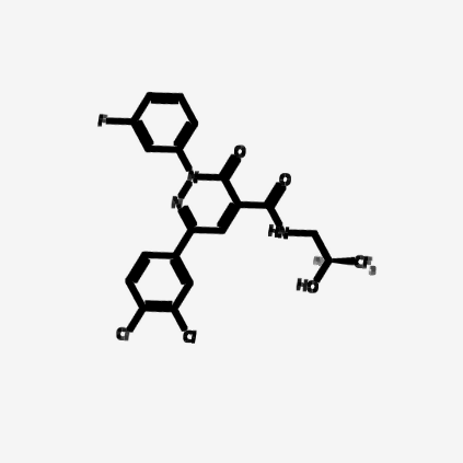 O=C(NC[C@H](O)C(F)(F)F)c1cc(-c2ccc(Cl)c(Cl)c2)nn(-c2cccc(F)c2)c1=O